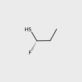 CC[C@H](F)S